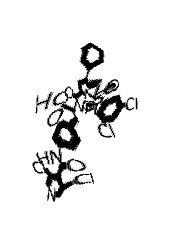 O=C(Nc1ccc(C[C@H](NC(=O)C2C[C@@H](C3CCCCC3)CN2S(=O)(=O)c2cc(Cl)cc(Cl)c2)C(=O)O)cc1)c1c(Cl)cncc1Cl